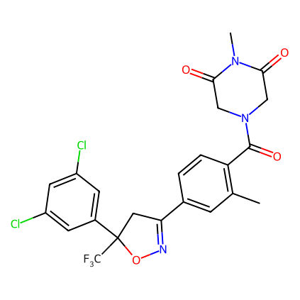 Cc1cc(C2=NOC(c3cc(Cl)cc(Cl)c3)(C(F)(F)F)C2)ccc1C(=O)N1CC(=O)N(C)C(=O)C1